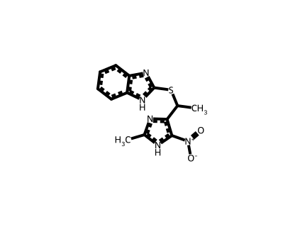 Cc1nc(C(C)Sc2nc3ccccc3[nH]2)c([N+](=O)[O-])[nH]1